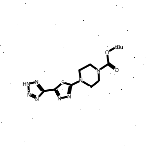 CC(C)(C)OC(=O)N1CCN(c2nnc(-c3nn[nH]n3)s2)CC1